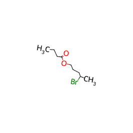 CCCC(=O)OCCCC(C)Br